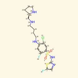 O=S(=O)(Nc1ncc(F)s1)c1cc(Cl)c(NCCCCNC[C@H]2CCCN2)cc1F